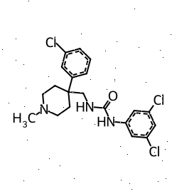 CN1CCC(CNC(=O)Nc2cc(Cl)cc(Cl)c2)(c2cccc(Cl)c2)CC1